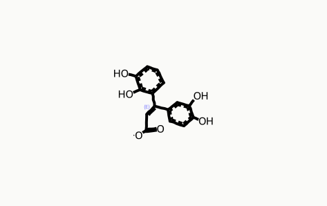 [O]C(=O)/C=C(\c1ccc(O)c(O)c1)c1cccc(O)c1O